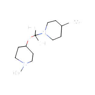 COC1CCN(C(C)(C)OC2CCN(C(C)(C)C)CC2)CC1